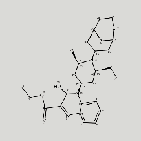 CCOC(=O)C1=Nc2ccccc2N([C@@H]2C[C@H](CC)N(C3CC4CCCC(C4)C3)[C@H](C)C2)C1O